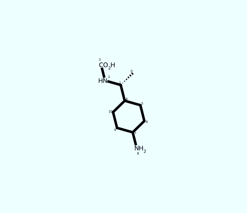 C[C@@H](NC(=O)O)C1CCC(N)CC1